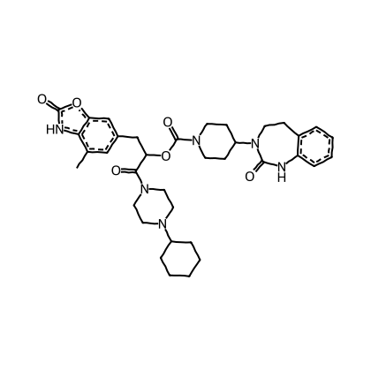 Cc1cc(CC(OC(=O)N2CCC(N3CCc4ccccc4NC3=O)CC2)C(=O)N2CCN(C3CCCCC3)CC2)cc2oc(=O)[nH]c12